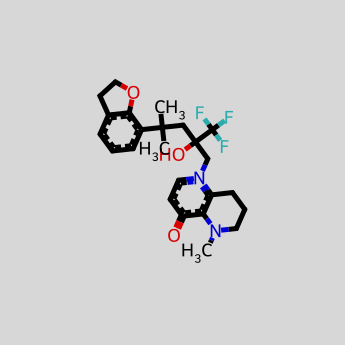 CN1CCCc2c1c(=O)ccn2CC(O)(CC(C)(C)c1cccc2c1OCC2)C(F)(F)F